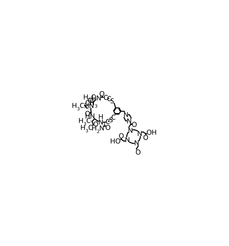 CC[C@H](C)[C@@H]1NC(=O)[C@H](CC(C)C)NC(=O)[C@@H](C)NC(=O)CCSCc2cc(cc(CN3CCN(C(=O)CN4CCN(CC(=O)O)CCN(CC=O)CCN(CC(=O)O)CC4)CC3)c2)CSC[C@@H](C(N)=O)NC1=O